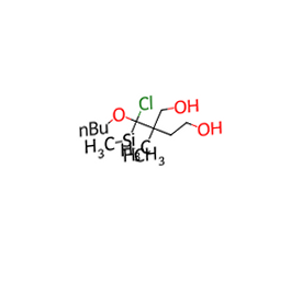 CCCCOC(Cl)([SiH](C)C)C(C)(CO)CCO